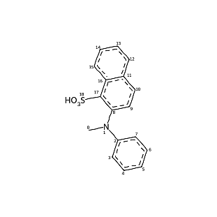 CN(c1ccccc1)c1ccc2ccccc2c1S(=O)(=O)O